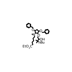 CCCCC(C)(C)C(O)COC1C(OCc2ccccc2)CC(OCc2ccccc2)C1N(C)CCCCCC(=O)OCC